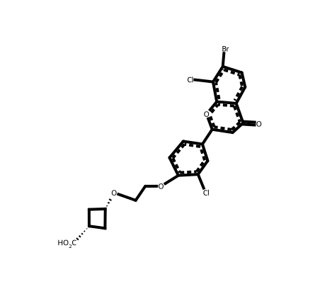 O=c1cc(-c2ccc(OCCO[C@H]3C[C@@H](C(=O)O)C3)c(Cl)c2)oc2c(Cl)c(Br)ccc12